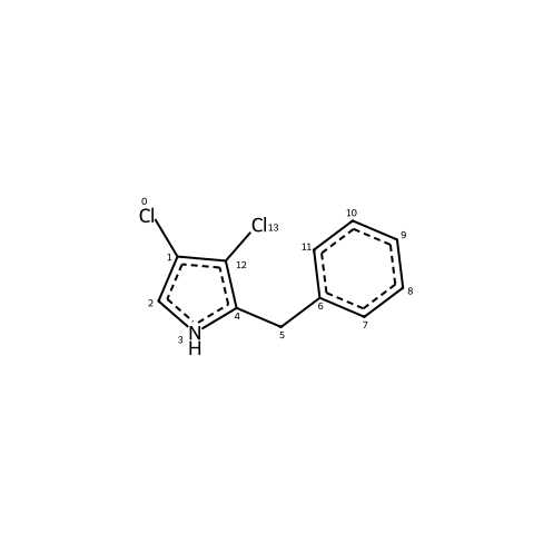 Clc1c[nH]c(Cc2ccccc2)c1Cl